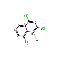 Clc1cc(Cl)c2cccc(Cl)c2c1Cl